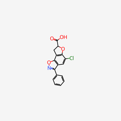 O=C(O)C1Cc2c(c(Cl)cc3c(-c4ccccc4)noc23)O1